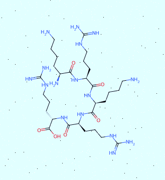 N=C(N)NCCC[C@H](NC(=O)[C@H](CCCNC(=N)N)NC(=O)[C@H](CCCCN)NC(=O)[C@H](CCCNC(=N)N)NC(=O)[C@@H](N)CCCCN)C(=O)O